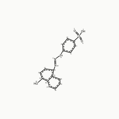 O=S(=O)(O)c1cc[c]([Zn][N]=Nc2ccc(O)c3ncccc23)cc1